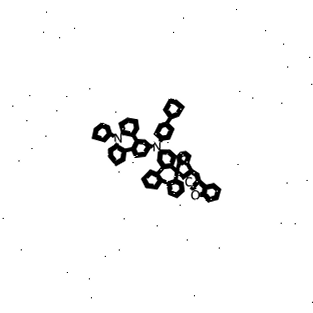 c1ccc(-c2ccc(N(c3ccc4c(c3)-c3ccccc3N(c3ccccc3)c3ccccc3-4)c3ccc4c(c3)-c3ccccc3-c3ccccc3C43c4ccccc4-c4cc5c(cc43)oc3ccccc35)cc2)cc1